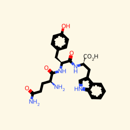 NC(=O)CC[C@H](N)C(=O)N[C@@H](Cc1ccc(O)cc1)C(=O)N[C@@H](Cc1c[nH]c2ccccc12)C(=O)O